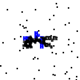 CCOC(=O)c1nc(C(N)Cc2c[nH]c3ccccc23)[nH]c1C